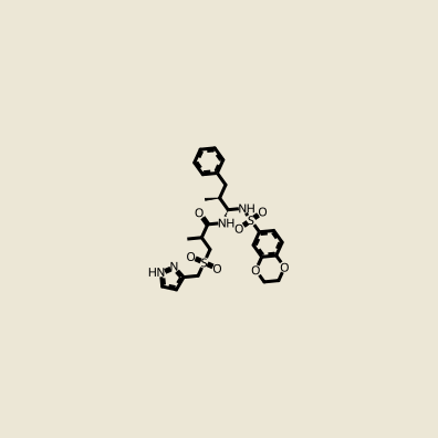 CC(CS(=O)(=O)Cc1cc[nH]n1)C(=O)N[C@@H](NS(=O)(=O)c1ccc2c(c1)OCCO2)[C@@H](C)Cc1ccccc1